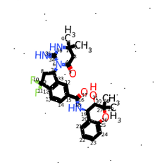 CC1(C)CC(=O)N(C2CC(F)(F)c3ccc(C(=O)N[C@@H]4c5ccccc5OC(C)(C)[C@H]4O)cc32)C(=N)N1